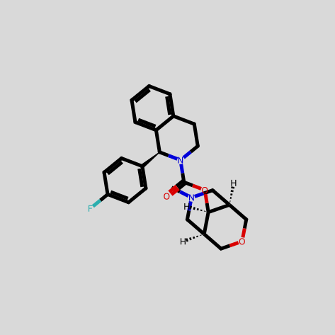 CN1C[C@H]2COC[C@@H](C1)[C@H]2OC(=O)N1CCc2ccccc2[C@@H]1c1ccc(F)cc1